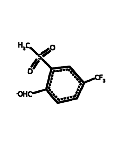 CS(=O)(=O)c1cc(C(F)(F)F)ccc1[C]=O